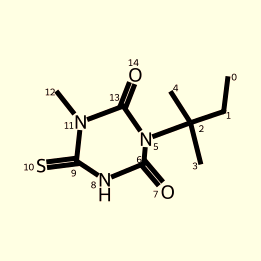 CCC(C)(C)n1c(=O)[nH]c(=S)n(C)c1=O